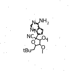 CC(C)(C)CC1OC(C#N)(c2ccc3c(N)ncnn23)C(OI)C1OI